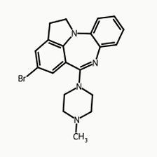 CN1CCN(C2=Nc3ccccc3N3CCc4cc(Br)cc2c43)CC1